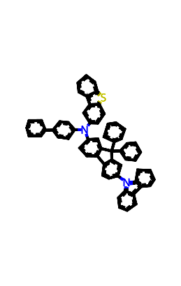 c1ccc(-c2ccc(N(c3ccc4c(c3)C(c3ccccc3)(c3ccccc3)c3cc(-n5c6ccccc6c6ccccc65)ccc3-4)c3ccc4sc5ccccc5c4c3)cc2)cc1